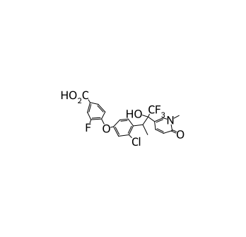 CC(c1ccc(Oc2ccc(C(=O)O)cc2F)cc1Cl)C(O)(c1ccc(=O)n(C)c1)C(F)(F)F